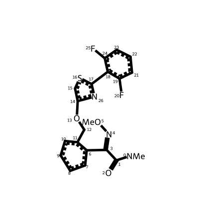 CNC(=O)/C(=N/OC)c1ccccc1COc1csc(-c2c(F)cccc2F)n1